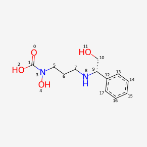 O=C(O)N(O)CCCN[C@H](CO)c1ccccc1